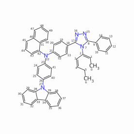 C/C=C(\C=C/CC)n1c(-c2ccccc2)nnc1-c1ccc(N(c2ccc(-n3c4ccccc4c4ccccc43)cc2)c2cccc3ccccc23)cc1